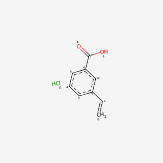 C=Cc1cccc(C(=O)O)c1.Cl